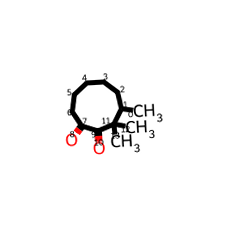 CC1CCCCCC(=O)C(=O)C1(C)C